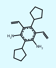 C=Cc1c(N)c(C2CCCC2)c(N)c(C=C)c1C1CCCC1